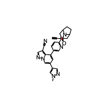 C#CC(=O)N1C2CCC1CN(c1ccc(-c3cc(-c4cnn(C)c4)cn4ncc(C#N)c34)cn1)C2